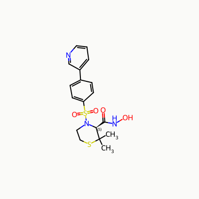 CC1(C)SCCN(S(=O)(=O)c2ccc(-c3cccnc3)cc2)[C@H]1C(=O)NO